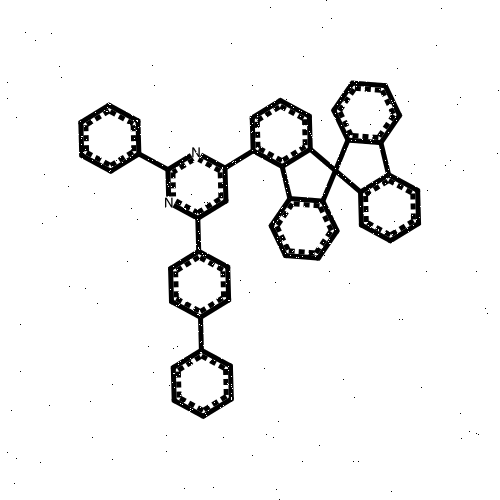 c1ccc(-c2ccc(-c3cc(-c4cccc5c4-c4ccccc4C54c5ccccc5-c5ccccc54)nc(-c4ccccc4)n3)cc2)cc1